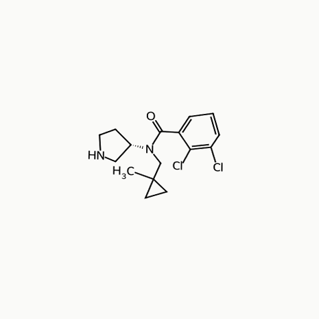 CC1(CN(C(=O)c2cccc(Cl)c2Cl)[C@H]2CCNC2)CC1